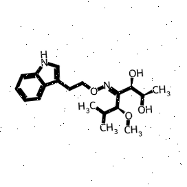 CO[C@H](/C(=N\OCCc1c[nH]c2ccccc12)[C@@H](O)[C@@H](C)O)C(C)C